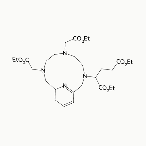 CCOC(=O)CCC(C(=O)OCC)N1CCN(CC(=O)OCC)CCN(CC(=O)OCC)CC2CC=CC(=N2)C1